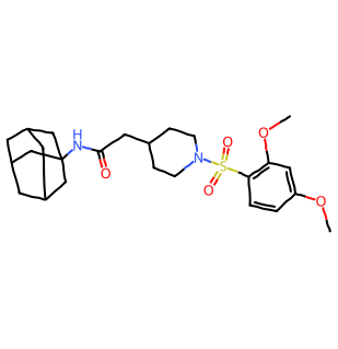 COc1ccc(S(=O)(=O)N2CCC(CC(=O)NC34CC5CC(CC(C5)C3)C4)CC2)c(OC)c1